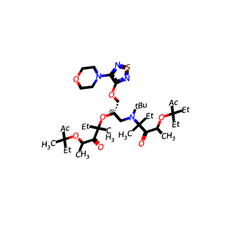 CCC(C)(OC(C)C(=O)C(C)(CC)O[C@H](COc1nsnc1N1CCOCC1)CN(C(C)(C)C)C(C)(CC)C(=O)C(C)OC(CC)(CC)C(C)=O)C(C)=O